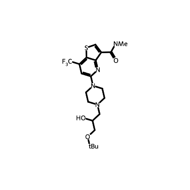 CNC(=O)c1csc2c(C(F)(F)F)cc(N3CCN(CC(O)COC(C)(C)C)CC3)nc12